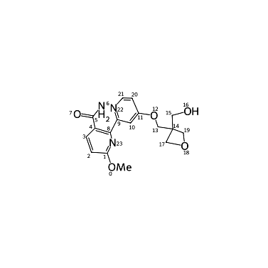 COc1ccc(C(N)=O)c(-c2cc(OCC3(CO)COC3)ccn2)n1